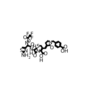 Nc1nc(/C(=N/OC(=O)C(F)(F)F)C(=O)N[C@@H]2C(=O)N3C(C(=O)O)=C(/C=C4\CCN(Cc5ccc(C(=O)O)cc5)C4=O)CS[C@H]23)cs1